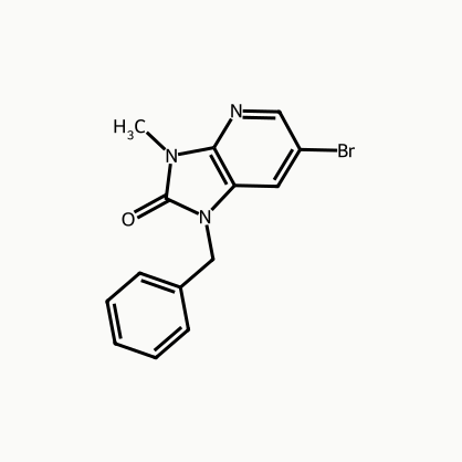 Cn1c(=O)n(Cc2ccccc2)c2cc(Br)cnc21